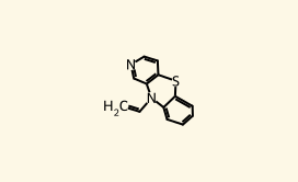 C=CN1c2ccccc2Sc2ccncc21